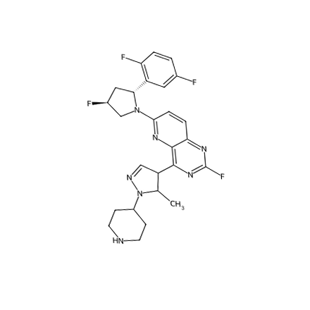 CC1C(c2nc(F)nc3ccc(N4C[C@@H](F)C[C@@H]4c4cc(F)ccc4F)nc23)C=NN1C1CCNCC1